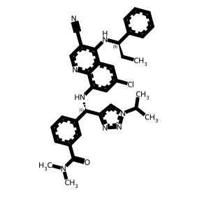 CC[C@@H](Nc1c(C#N)cnc2c(N[C@@H](c3cccc(C(=O)N(C)C)c3)c3cn(C(C)C)nn3)cc(Cl)cc12)c1ccccc1